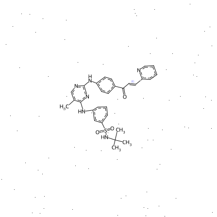 Cc1cnc(Nc2ccc(C(=O)/C=C/c3ccccn3)cc2)nc1Nc1cccc(S(=O)(=O)NC(C)(C)C)c1